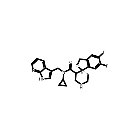 O=C(C1CNCC[C@@]12OCc1cc(F)c(F)cc12)N(Cc1c[nH]c2ncccc12)C1CC1